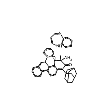 C1=CNc2ccccc2N=C1.CC1(N)C(=O)C(C23CC4CC(CC(C4)C2)C3)=c2ccc3c(c2C1=O)C(c1ccccc1)C=c1ccccc1=3